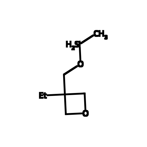 CCC1(CO[SiH2]C)COC1